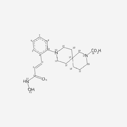 O=C(C=Cc1ccccc1N1CCC2(CCCN(C(=O)O)C2)CC1)NO